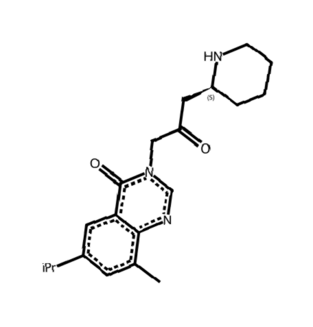 Cc1cc(C(C)C)cc2c(=O)n(CC(=O)C[C@@H]3CCCCN3)cnc12